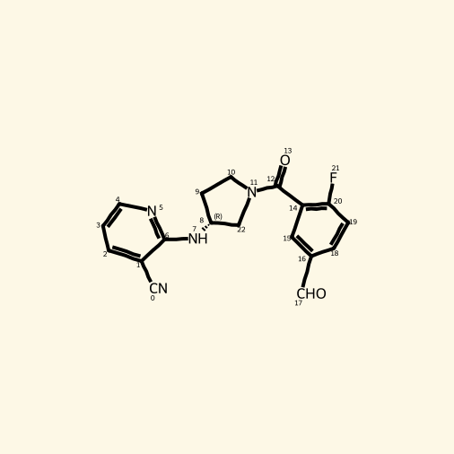 N#Cc1cccnc1N[C@@H]1CCN(C(=O)c2cc(C=O)ccc2F)C1